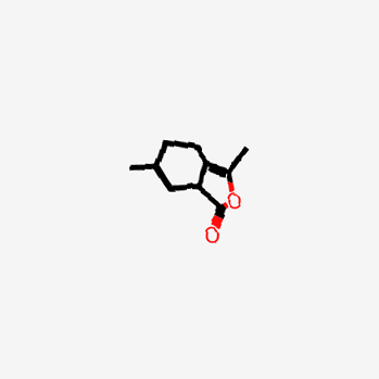 CC1=C2CCC(C)CC2C(=O)O1